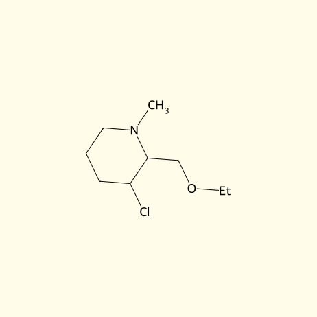 CCOCC1C(Cl)CCCN1C